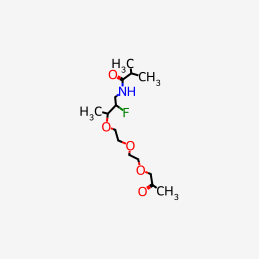 CC(=O)COCCOCCOC(C)C(F)CNC(=O)C(C)C